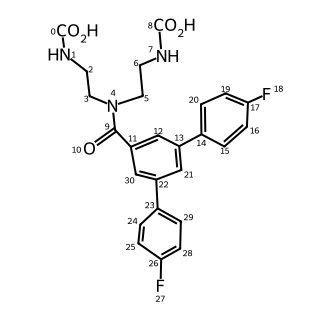 O=C(O)NCCN(CCNC(=O)O)C(=O)c1cc(-c2ccc(F)cc2)cc(-c2ccc(F)cc2)c1